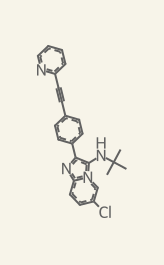 CC(C)(C)Nc1c(-c2ccc(C#Cc3ccccn3)cc2)nc2ccc(Cl)cn12